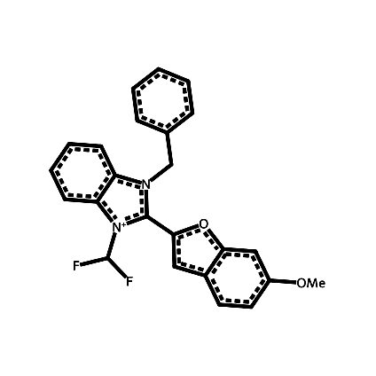 COc1ccc2cc(-c3n(Cc4ccccc4)c4ccccc4[n+]3C(F)F)oc2c1